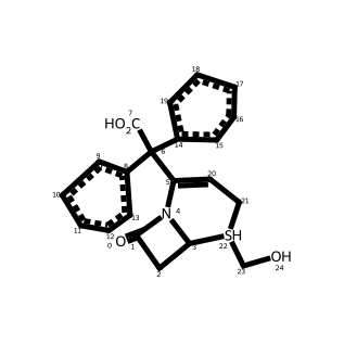 O=C1CC2N1C(C(C(=O)O)(c1ccccc1)c1ccccc1)=CC[SH]2CO